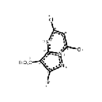 CCOC(=O)c1c(Br)nn2c(Cl)cc(Cl)nc12